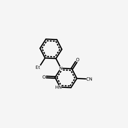 CCc1ccccc1-n1c(=O)[nH]cc(C#N)c1=O